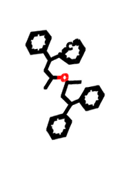 CC(CC(c1ccccc1)c1ccccc1)OC(C)CC(c1ccccc1)c1ccccc1